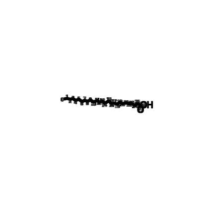 CCCCCCCCCCCCCCCCCCCCCCC=CCCC(=O)O